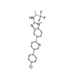 CC(Nc1nc2cc(-c3ccc(-c4ccc(Cl)cc4)cn3)ccc2n1C)C(F)(F)F